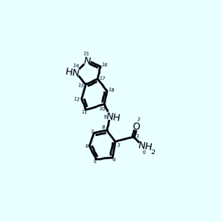 NC(=O)c1ccccc1Nc1ccc2[nH]ncc2c1